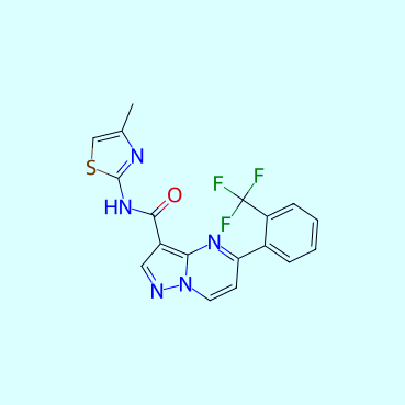 Cc1csc(NC(=O)c2cnn3ccc(-c4ccccc4C(F)(F)F)nc23)n1